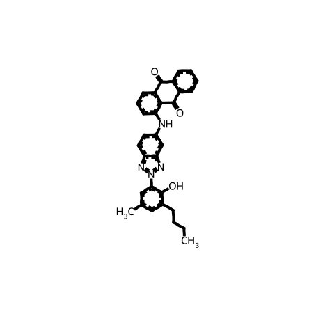 CCCCc1cc(C)cc(-n2nc3ccc(Nc4cccc5c4C(=O)c4ccccc4C5=O)cc3n2)c1O